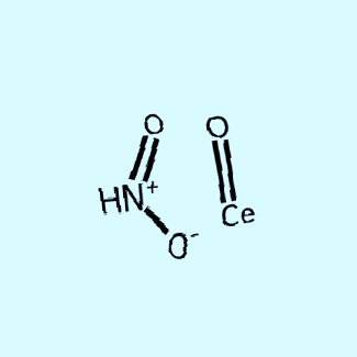 O=[NH+][O-].[O]=[Ce]